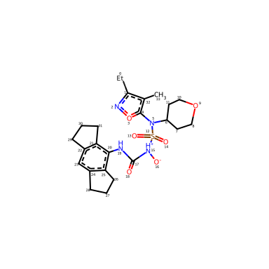 CCc1noc(N(C2CCOCC2)S(=O)(=O)[NH+]([O-])C(=O)Nc2c3c(cc4c2CCC4)CCC3)c1C